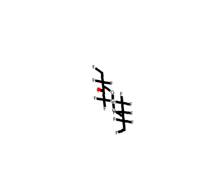 C[O][Sn]([O]C)([C](F)(F)C(F)(F)C(F)(F)CF)[C](F)(F)C(F)(F)C(F)(F)CF